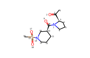 CC(=O)[C@H]1CCCN1C(=O)[C@H]1CCCN(S(C)(=O)=O)C1